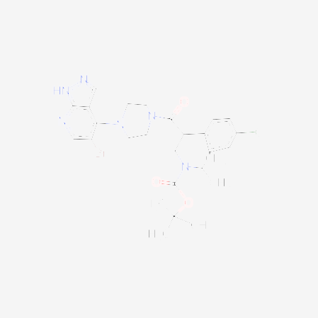 CC(C)N(CC(C(=O)N1CCN(c2c(Br)cnc3[nH]ncc23)CC1)c1ccc(Cl)cc1)C(=O)OC(C)(C)C